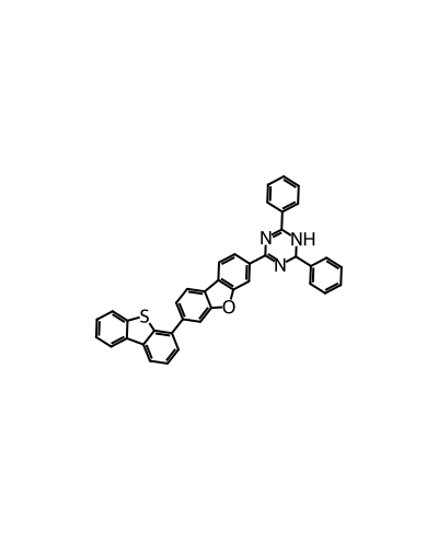 c1ccc(C2=NC(c3ccc4c(c3)oc3cc(-c5cccc6c5sc5ccccc56)ccc34)=NC(c3ccccc3)N2)cc1